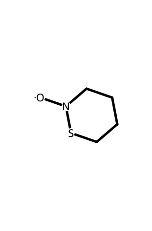 [O]N1CCCCS1